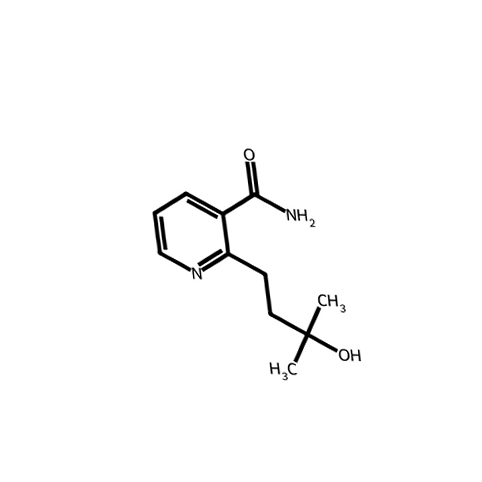 CC(C)(O)CCc1ncccc1C(N)=O